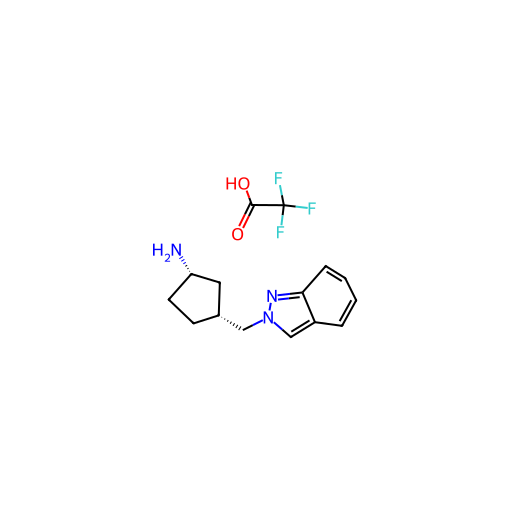 N[C@H]1CC[C@@H](Cn2cc3ccccc3n2)C1.O=C(O)C(F)(F)F